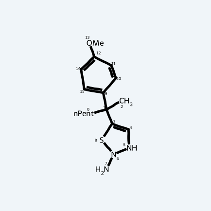 CCCCCC(C)(C1=CNN(N)S1)c1ccc(OC)cc1